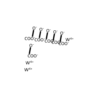 O=C([O-])[O-].O=C([O-])[O-].O=C([O-])[O-].O=C([O-])[O-].O=C([O-])[O-].O=C([O-])[O-].[W+4].[W+4].[W+4]